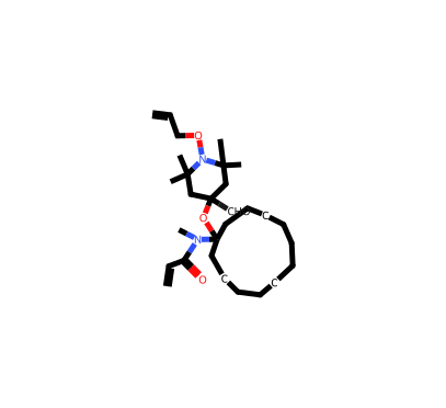 C=CCON1C(C)(C)CC(C=O)(OC2(N(C)C(=O)C=C)CCCCCCCCCCC2)CC1(C)C